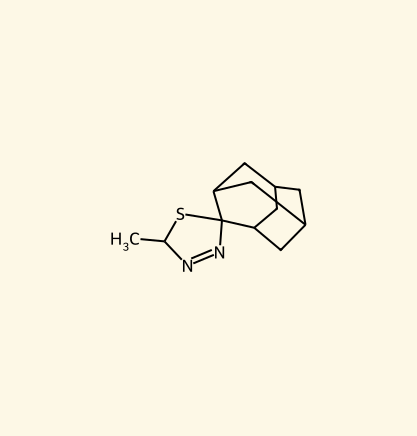 CC1N=NC2(S1)C1CC3CC(C1)CC2C3